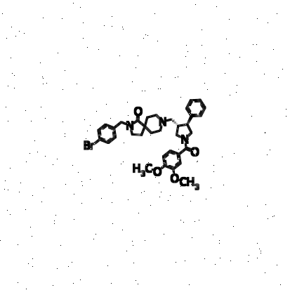 COc1ccc(C(=O)N2C[C@H](CN3CCC4(CC3)CCN(Cc3ccc(Br)cc3)C4=O)[C@@H](c3ccccc3)C2)cc1OC